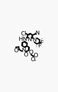 COC(=O)COc1cc2cc(Nc3nc(N4C[C@@H](C)C(F)(F)[C@@H](C)C4)c(C#N)cc3Cl)ccc2n(CC2CCO2)c1=O